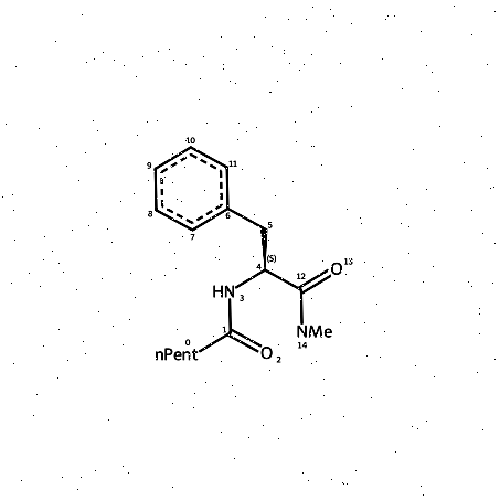 CCCCCC(=O)N[C@@H](Cc1ccccc1)C(=O)NC